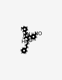 Cc1nc(-c2cccnc2)nc(-c2cccc(N=O)c2)c1C(=O)NCCCc1ccccc1